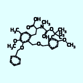 COc1ccc(COCc2c(CC(C(=O)O)N(C)C(=O)OC(C)(C)C)cc(C)c(OC)c2OCc2ccccc2)cc1